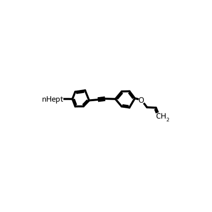 C=CCOc1ccc(C#Cc2ccc(CCCCCCC)cc2)cc1